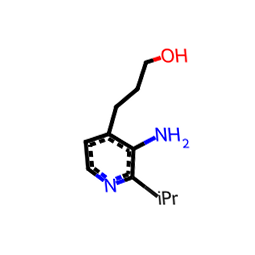 CC(C)c1nccc(CCCO)c1N